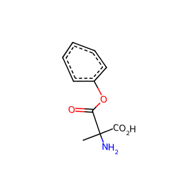 CC(N)(C(=O)O)C(=O)Oc1ccccc1